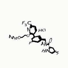 COCCOc1nc(C(F)(F)F)ccc1-c1cc(F)cc(CNC(=O)[C@@H]2C[C@@H](F)CN2)c1.Cl